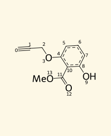 C#CCOc1cccc(O)c1C(=O)OC